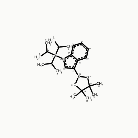 CC(C)[Si](C(C)C)(C(C)C)n1cc(B2OC(C)(C)C(C)(C)O2)c2ccccc21